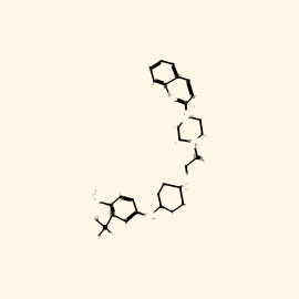 O=Nc1ccc(NC2CCC(OCC(=O)N3CCN(c4ccc5ccccc5n4)CC3)CC2)cc1C(F)(F)F